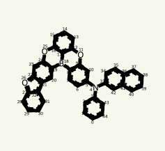 c1ccc(N(c2ccc3c(c2)Oc2cccc4c2B3c2cc3c(cc2O4)oc2ccccc23)c2ccc3ccccc3c2)cc1